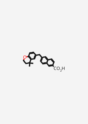 CC1(C)CCOc2ccc(Cc3ccc4cc(C(=O)O)ccc4c3)cc21